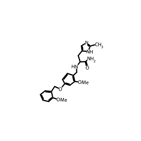 COc1cc(OCc2ccccc2OC)ccc1CNC(Cc1cnc(C)[nH]1)C(N)=O